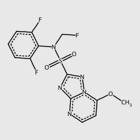 COc1ccnc2nc(S(=O)(=O)N(CF)c3c(F)cccc3F)nn12